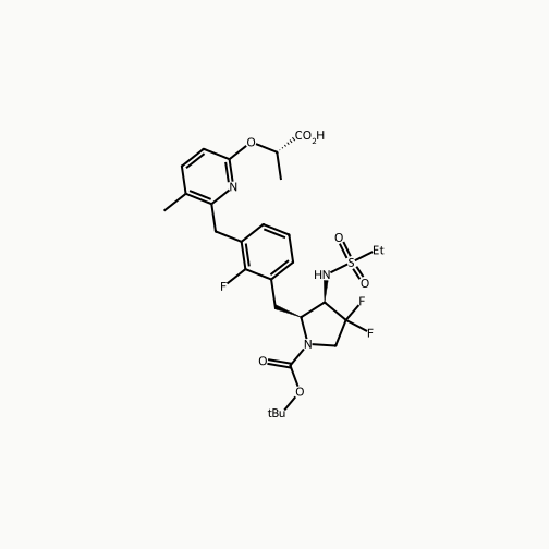 CCS(=O)(=O)N[C@@H]1[C@H](Cc2cccc(Cc3nc(O[C@@H](C)C(=O)O)ccc3C)c2F)N(C(=O)OC(C)(C)C)CC1(F)F